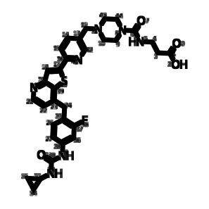 O=C(O)CCNC(=O)N1CCN(Cc2ccc(-c3cc4nccc(Cc5ccc(NC(=O)NC6CC6)cc5F)c4s3)nc2)CC1